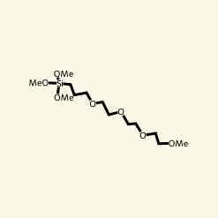 COCCOCCOCCOCCC[Si](OC)(OC)OC